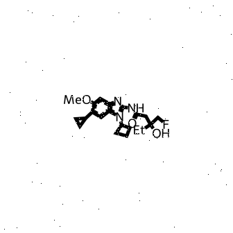 CCC(O)(CF)CC(=O)Nc1nc2cc(OC)c(C3CC3)cc2n1C1CCC1